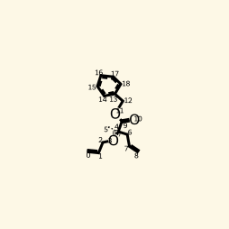 C=CCO[C@](C)(CC=C)C(=O)OCc1ccccc1